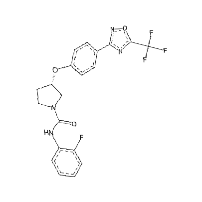 O=C(Nc1ccccc1F)N1CC[C@H](Oc2ccc(-c3noc(C(F)(F)F)n3)cc2)C1